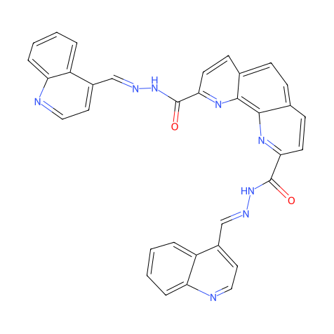 O=C(NN=Cc1ccnc2ccccc12)c1ccc2ccc3ccc(C(=O)NN=Cc4ccnc5ccccc45)nc3c2n1